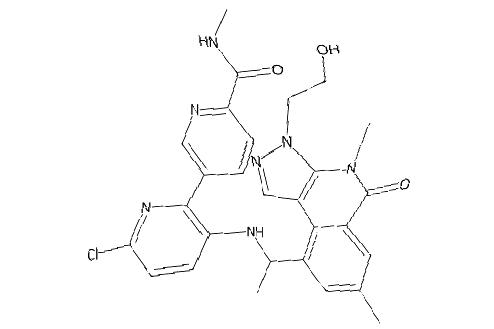 CNC(=O)c1ccc(-c2nc(Cl)ccc2NC(C)c2cc(C)cc3c(=O)n(C)c4c(cnn4CCO)c23)cn1